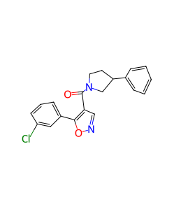 O=C(c1cnoc1-c1cccc(Cl)c1)N1CCC(c2ccccc2)C1